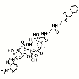 CC(C)(COP(=O)(O)OP(=O)(O)OC[C@H]1O[C@@H](n2cnc3c(N)ncnc32)[C@H](O)[C@@H]1OP(=O)(O)O)[C@@H](O)C(=O)NCCC(=O)NCCSC(=O)CC1C=CC=CC1